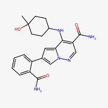 CC1(O)CCC(Nc2c(C(N)=O)cnn3cc(-c4ccccc4C(N)=O)cc23)CC1